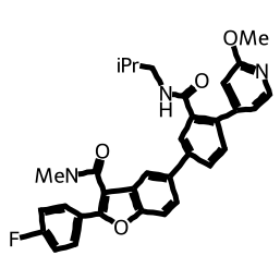 CNC(=O)c1c(-c2ccc(F)cc2)oc2ccc(-c3ccc(-c4ccnc(OC)c4)c(C(=O)NCC(C)C)c3)cc12